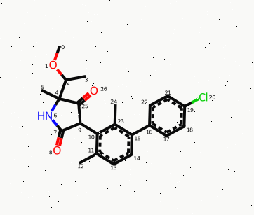 COC(C)C1(C)NC(=O)C(c2c(C)ccc(-c3ccc(Cl)cc3)c2C)C1=O